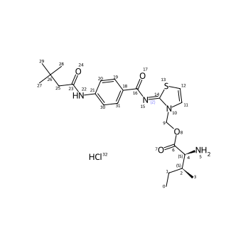 CC[C@H](C)[C@H](N)C(=O)OCn1ccs/c1=N\C(=O)c1ccc(NC(=O)CC(C)(C)C)cc1.Cl